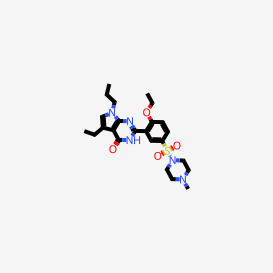 CCCn1cc(CC)c2c(=O)[nH]c(-c3cc(S(=O)(=O)N4CCN(C)CC4)ccc3OCC)nc21